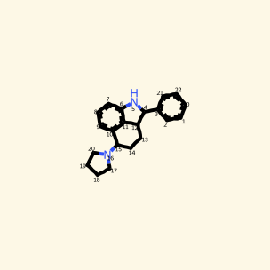 c1ccc(C2Nc3cccc4c3C2CCC4N2CCCC2)cc1